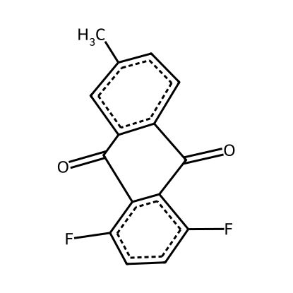 Cc1ccc2c(c1)C(=O)c1c(F)ccc(F)c1C2=O